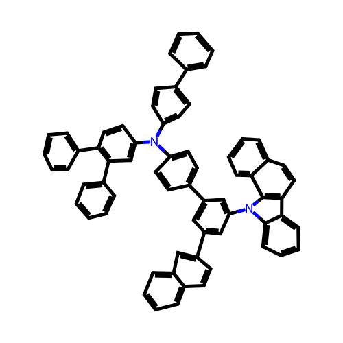 c1ccc(-c2ccc(N(c3ccc(-c4cc(-c5ccc6ccccc6c5)cc(-n5c6ccccc6c6ccc7ccccc7c65)c4)cc3)c3ccc(-c4ccccc4)c(-c4ccccc4)c3)cc2)cc1